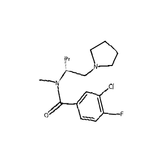 CC(C)[C@H](CN1CCCC1)N(C)C(=O)c1ccc(F)c(Cl)c1